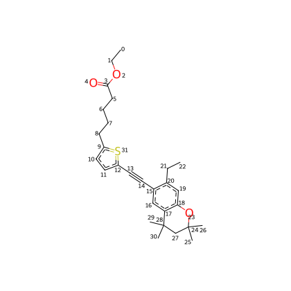 CCOC(=O)CCCCc1ccc(C#Cc2cc3c(cc2CC)OC(C)(C)CC3(C)C)s1